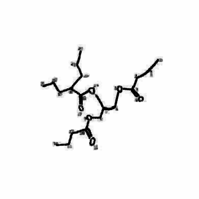 CCCC(=O)OCC(COC(=O)CCC)OC(=O)C(CCC)CCC